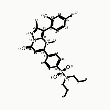 CCCN(CCC)S(=O)(=O)c1ccc(-c2cc(=O)n3nc(C)c(-c4ccc(F)cc4F)c3n2C)cc1